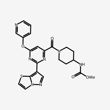 COC(=O)NC1CCN(C(=O)c2cc(Oc3cccnc3)nc(-c3cnn4ccsc34)n2)CC1